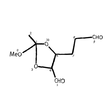 COC1(C)OC(C=O)C(CCC=O)O1